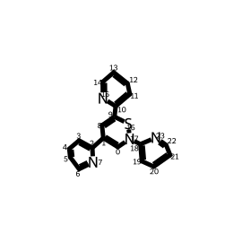 C1=C(c2ccccn2)C=C(c2ccccn2)SN1c1ccccn1